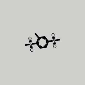 Cc1cc(S(C)(=O)=O)ccc1S(C)(=O)=O